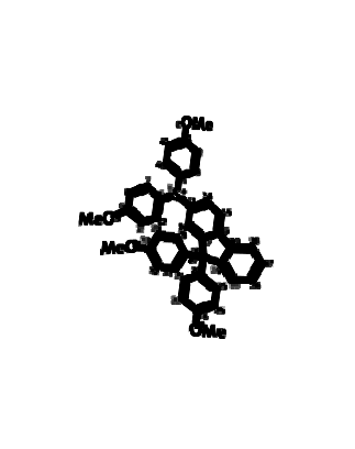 COc1ccc([S+](c2ccc(OC)cc2)c2ccc3c(c2)C(c2ccc(OC)cc2)(c2ccc(OC)cc2)c2ccccc2-3)cc1